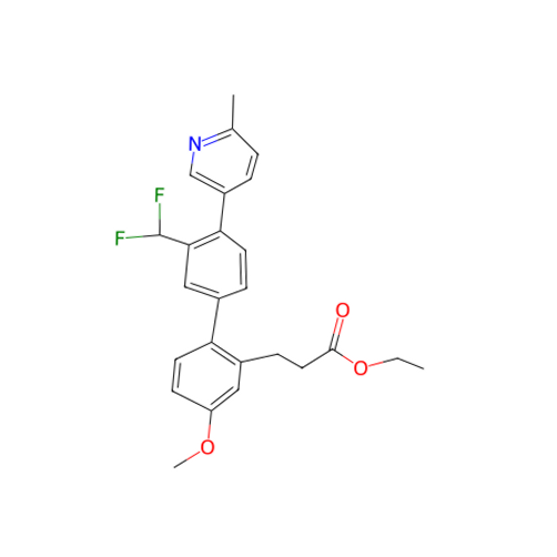 CCOC(=O)CCc1cc(OC)ccc1-c1ccc(-c2ccc(C)nc2)c(C(F)F)c1